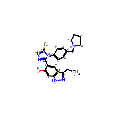 CCc1n[nH]c2cc(O)c(-c3nnc(S)n3-c3ccc(CN4CCCC4)cc3)cc12